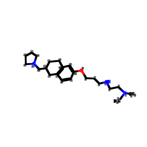 CN(C)CCNCCCOc1ccc2c(c1)CCC(CN1CCCC1)C2